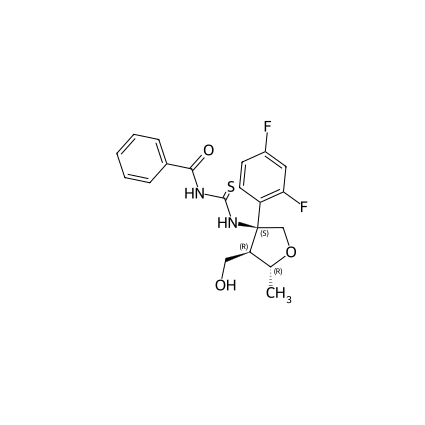 C[C@H]1OC[C@@](NC(=S)NC(=O)c2ccccc2)(c2ccc(F)cc2F)[C@@H]1CO